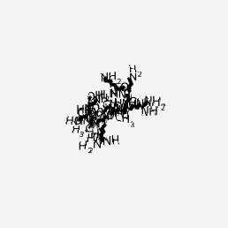 C[C@H](NC(=O)[C@H](C)NC(=O)[C@H](CCCNC(=N)N)NC(=O)[C@H](CCCCN)NC(=O)[C@@H](N)CCCCN)C(=O)N[C@@H](CCCNC(=N)N)C(=O)N[C@@H](C)C(=O)N[C@H](C(=O)N[C@@H](CO)C(N)=O)[C@@H](C)O